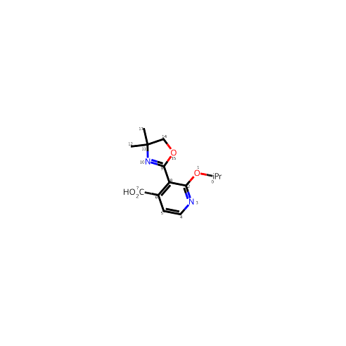 CC(C)Oc1nccc(C(=O)O)c1C1=NC(C)(C)CO1